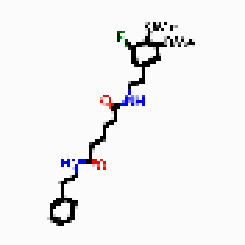 COc1cc(CCNC(=O)CCCCC(=O)NCCc2ccccc2)cc(F)c1OC